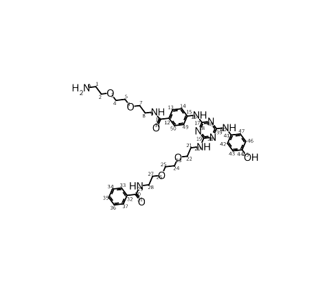 NCCOCCOCCNC(=O)c1ccc(Nc2nc(NCCOCCOCCNC(=O)c3ccccc3)nc(Nc3ccc(O)cc3)n2)cc1